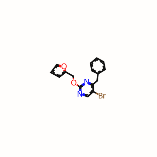 Brc1cnc(OCc2ccco2)nc1Cc1ccccc1